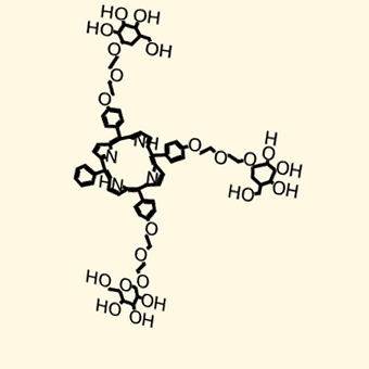 OCC1CC(OCCOCCOc2ccc(-c3c4nc(c(-c5ccccc5)c5ccc([nH]5)c(-c5ccc(OCCOCCOC6OC(CO)C(O)C(O)C6O)cc5)c5nc(c(-c6ccc(OCCOCCOC7CC(CO)C(O)C(O)C7O)cc6)c6ccc3[nH]6)C=C5)C=C4)cc2)C(O)C(O)C1O